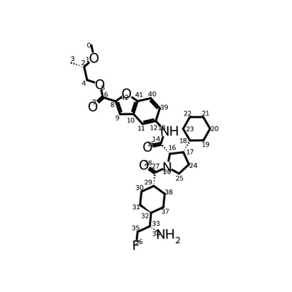 CO[C@@H](C)COC(=O)c1cc2cc(NC(=O)[C@@H]3[C@H](C4CCCCC4)CCN3C(=O)[C@H]3CC[C@H]([C@H](N)CF)CC3)ccc2o1